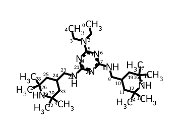 CCN(CC)c1nc(NCC2CC(C)(C)NC(C)(C)C2)nc(NCC2CC(C)(C)NC(C)(C)C2)n1